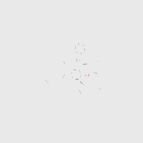 COC(=O)/C(C)=C\CC12OC(C)(C)C3CC(C1=O)C1Sc4ccccc4NC4=C1C32Oc1c(CC=C(C)C)c2c3c(c14)OC(=O)CC3=CC(C)(CCC=C(C)C)O2